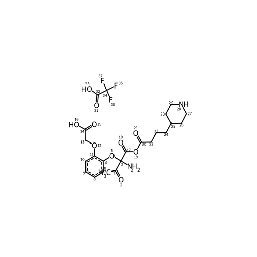 CC(=O)C(N)(Oc1ccccc1OCC(=O)O)C(=O)OC(=O)CCCC1CCNCC1.O=C(O)C(F)(F)F